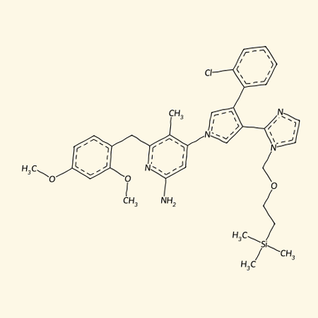 COc1ccc(Cc2nc(N)cc(-n3cc(-c4ccccc4Cl)c(-c4nccn4COCC[Si](C)(C)C)c3)c2C)c(OC)c1